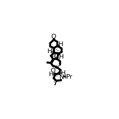 CC1=C2C[C@H]3[C@@H](CC[C@@H]4CC(=O)CC[C@@]43C)[C@@H]2CC[C@]2(C1)C[C@H]1[C@@H](C[C@H](C)CN1C(C)C)O2